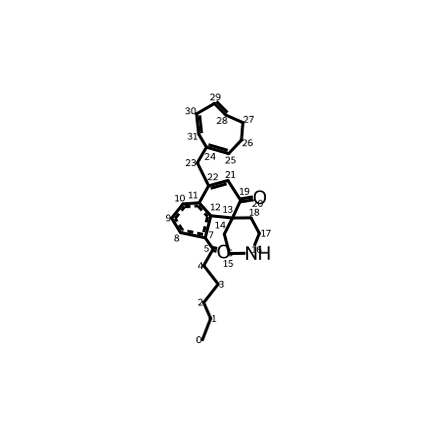 CCCCCC(=O)c1cccc2c1C1(CCNCC1)C(=O)C=C2CC1=C/CC/C=C/C=C\1